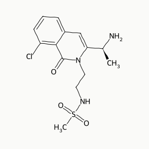 C[C@H](N)c1cc2cccc(Cl)c2c(=O)n1CCNS(C)(=O)=O